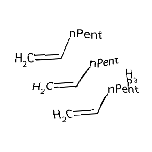 C=CCCCCC.C=CCCCCC.C=CCCCCC.P